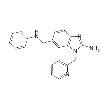 Nc1nc2ccc(CNc3ccccc3)cc2n1Cc1ccccn1